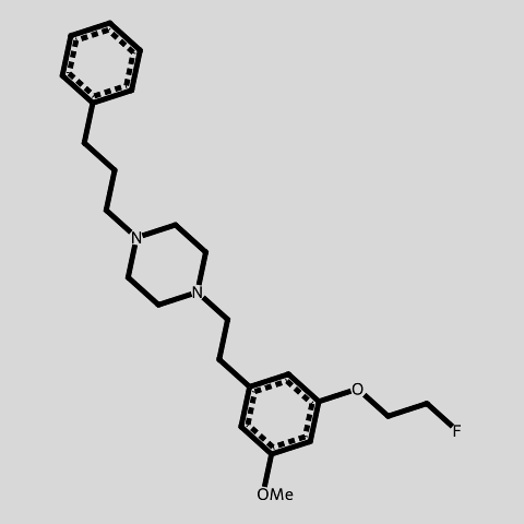 COc1cc(CCN2CCN(CCCc3ccccc3)CC2)cc(OCCF)c1